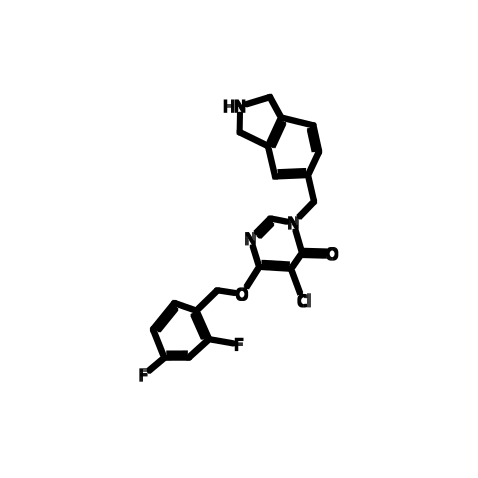 O=c1c(Cl)c(OCc2ccc(F)cc2F)ncn1Cc1ccc2c(c1)CNC2